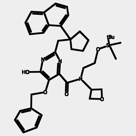 CC(C)(C)[Si](C)(C)OCCN(C(=O)c1nc(CC2(c3cccc4ccccc34)CCCC2)nc(O)c1OCc1ccccc1)C1COC1